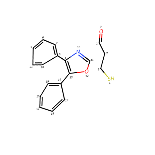 O=CCCS.c1ccc(-c2ncoc2-c2ccccc2)cc1